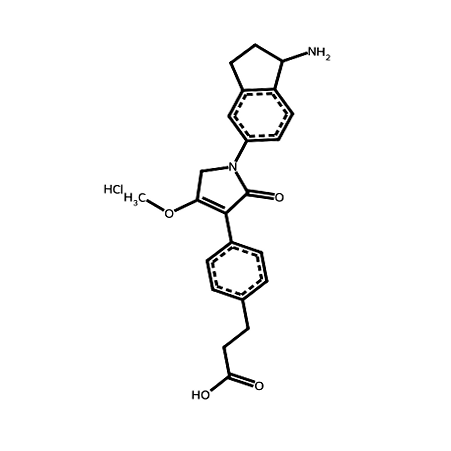 COC1=C(c2ccc(CCC(=O)O)cc2)C(=O)N(c2ccc3c(c2)CCC3N)C1.Cl